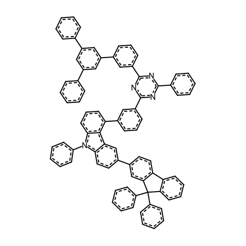 c1ccc(-c2cc(-c3ccccc3)cc(-c3cccc(-c4nc(-c5ccccc5)nc(-c5cccc(-c6cccc7c6c6cc(-c8ccc9c(c8)C(c8ccccc8)(c8ccccc8)c8ccccc8-9)ccc6n7-c6ccccc6)c5)n4)c3)c2)cc1